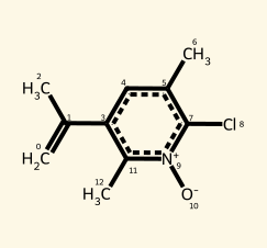 C=C(C)c1cc(C)c(Cl)[n+]([O-])c1C